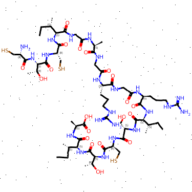 CC[C@H](C)[C@H](NC(=O)[C@H](CS)NC(=O)[C@@H](NC(=O)[C@@H](N)CS)[C@@H](C)O)C(=O)NCC(=O)N[C@@H](C)C(=O)NCC(=O)N[C@@H](CCCNC(=N)N)C(=O)NCC(=O)N[C@@H](CCCNC(=N)N)C(=O)N[C@H](C(=O)N[C@@H](CO)C(=O)N[C@@H](CS)C(=O)N[C@H](C(=O)N[C@H](C(=O)N[C@@H](C)C(=O)O)[C@@H](C)CC)[C@@H](C)O)[C@@H](C)CC